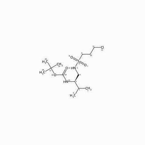 CC(C)[C@H](CNS(=O)(=O)CCCCl)NC(=O)OC(C)(C)C